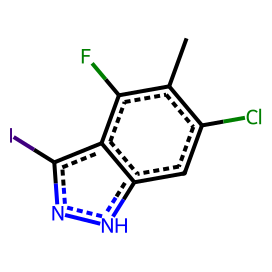 Cc1c(Cl)cc2[nH]nc(I)c2c1F